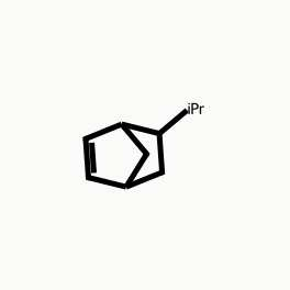 CC(C)C1CC2C=CC1C2